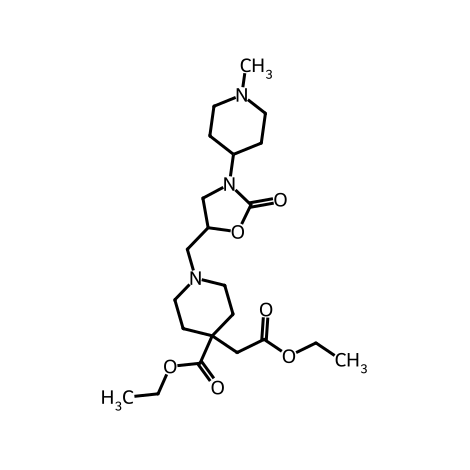 CCOC(=O)CC1(C(=O)OCC)CCN(CC2CN(C3CCN(C)CC3)C(=O)O2)CC1